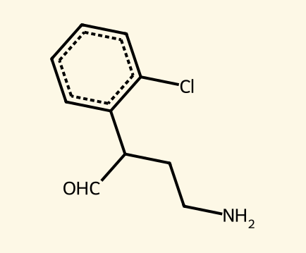 NCCC(C=O)c1ccccc1Cl